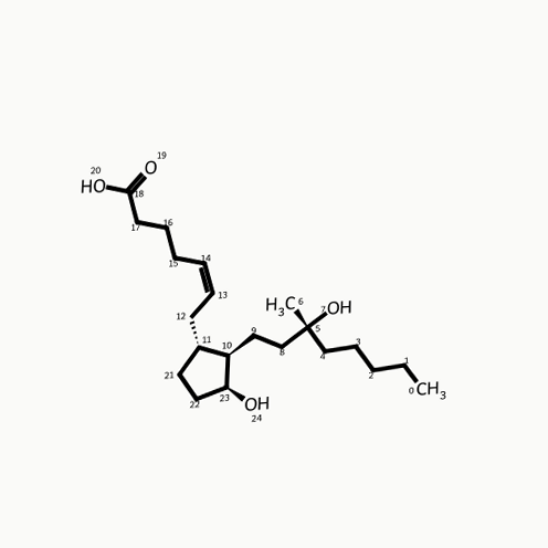 CCCCC[C@@](C)(O)CC[C@@H]1[C@@H](C/C=C\CCCC(=O)O)CC[C@@H]1O